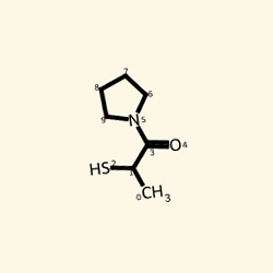 CC(S)C(=O)N1CCCC1